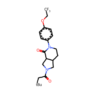 CC(C)(C)CC(=O)N1CC2CCN(c3ccc(OCC(F)(F)F)cc3)C(=O)C2C1